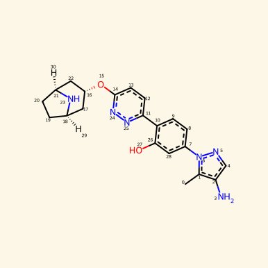 Cc1c(N)cnn1-c1ccc(-c2ccc(O[C@@H]3C[C@H]4CC[C@@H](C3)N4)nn2)c(O)c1